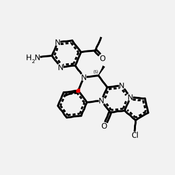 CCN(c1nc(N)ncc1C(C)=O)[C@@H](C)c1nn2ccc(Cl)c2c(=O)n1-c1ccccc1